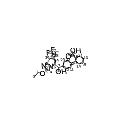 CCOc1cn2c(C(O)c3ccc(-c4ccccc4C(=O)O)cc3)cc(C(F)(F)F)cc2n1